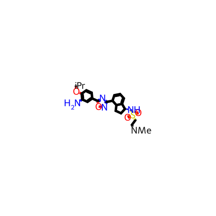 CNCCS(=O)(=O)N[C@H]1CCC2C1=CC=CC2c1noc(-c2ccc(OC(C)C)c(N)c2)n1